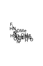 COc1cc(C(=O)Nc2cccc(-c3nccc(-c4ccc(CNC[C@@H]5CCC(=O)N5)c(OC)n4)c3Cl)c2Cl)ncc1CNCCCF